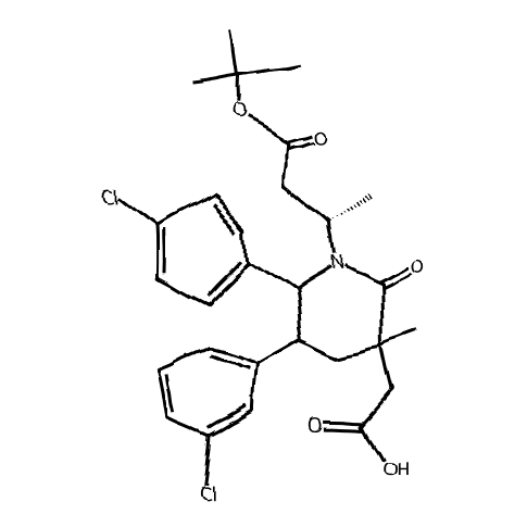 C[C@@H](CC(=O)OC(C)(C)C)N1C(=O)C(C)(CC(=O)O)CC(c2cccc(Cl)c2)C1c1ccc(Cl)cc1